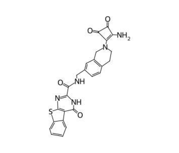 Nc1c(N2CCc3ccc(CNC(=O)c4nc5sc6ccccc6c5c(=O)[nH]4)cc3C2)c(=O)c1=O